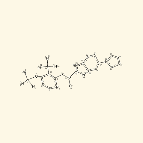 [2H]C([2H])([2H])Oc1ccnc(C[S+]([O-])c2nc3cc(-n4cccc4)ccc3[nH]2)c1C([2H])([2H])[2H]